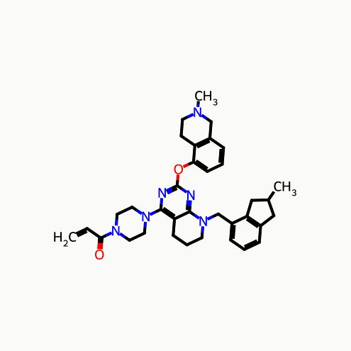 C=CC(=O)N1CCN(c2nc(Oc3cccc4c3CCN(C)C4)nc3c2CCCN3Cc2cccc3c2CC(C)C3)CC1